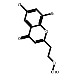 O=COCCc1cc(=O)c2cc(Cl)cc(Br)c2o1